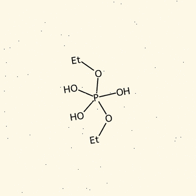 CCOP(O)(O)(O)OCC